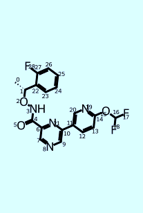 C[C@@H](ONC(=O)c1cncc(-c2ccc(OC(F)F)nc2)n1)c1ccccc1F